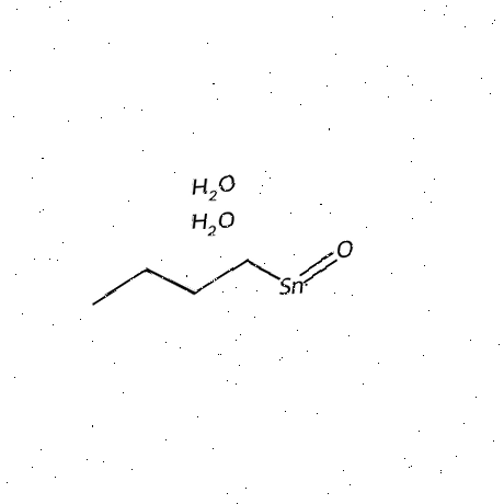 CCC[CH2][Sn]=[O].O.O